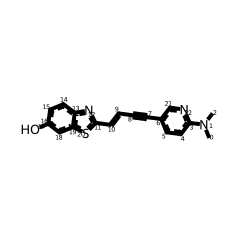 CN(C)c1ccc(C#C/C=C/c2nc3ccc(O)cc3s2)cn1